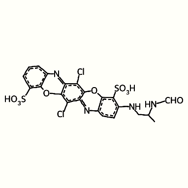 CC(CNc1ccc2c(c1S(=O)(=O)O)Oc1c(Cl)c3c(c(Cl)c1=N2)Oc1c(cccc1S(=O)(=O)O)N=3)NC=O